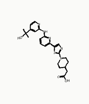 CC(C)(O)c1ccnc(Nc2cccc(-c3cnc(N4CCC(CC(=O)O)CC4)s3)n2)c1